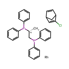 C[C@H](CP(c1ccccc1)c1ccccc1)P(c1ccccc1)c1ccccc1.ClC1=CC2C=CC1C2.[Rh]